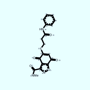 CNC(=O)c1noc2c1C(=O)C(SCCC(=O)Nc1ccccc1)=CC2=O